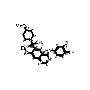 CCOc1cc2ncnc(Nc3ccc(F)c(Cl)c3)c2cc1C(C)(C)N1CCC(OC)CC1